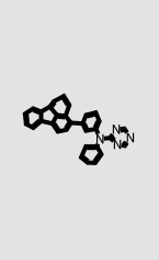 c1ccc(N(c2cccc(-c3ccc4c5c(cccc35)-c3ccccc3-4)c2)c2ncncn2)cc1